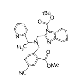 COC(=O)c1cc(C#N)ccc1CN(Cc1nc2ccccc2n1C(=O)OC(C)(C)C)C(C)c1ccccn1